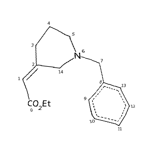 CCOC(=O)/C=C1/CCCN(Cc2ccccc2)C1